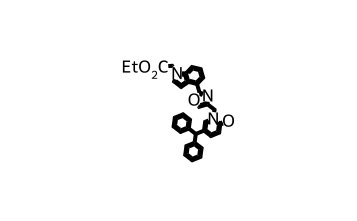 CCOC(=O)Cn1ccc2c(-c3nc(Cn4cc(C(c5ccccc5)c5ccccc5)ccc4=O)co3)cccc21